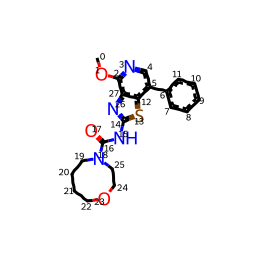 COc1ncc(-c2ccccc2)c2sc(NC(=O)N3CCCCOCC3)nc12